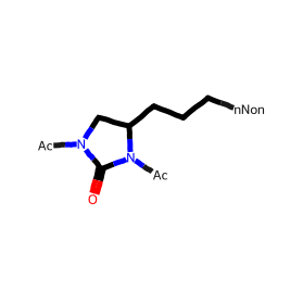 CCCCCCCCCCCCC1CN(C(C)=O)C(=O)N1C(C)=O